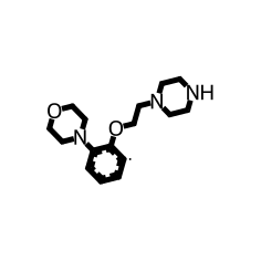 [c]1cccc(N2CCOCC2)c1OCCN1CCNCC1